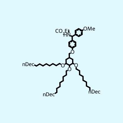 CCCCCCCCCCCCCCCCCCOC1CC(COc2ccc(C(NC(=O)OCC)c3ccc(OC)cc3)cc2)CC(OCCCCCCCCCCCCCCCCCC)C1OCCCCCCCCCCCCCCCCCC